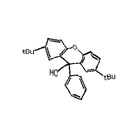 CC(C)(C)c1ccc2c(c1)C(O)(c1ccccc1)c1cc(C(C)(C)C)ccc1O2